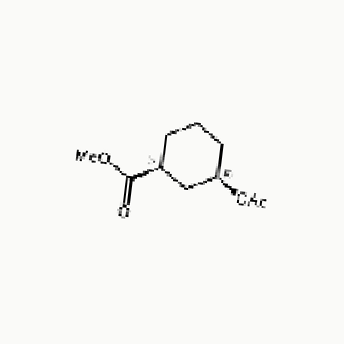 COC(=O)[C@H]1CCC[C@@H](OC(C)=O)C1